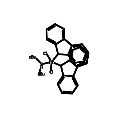 CCCC[SiH](CCCC)[Hf]([Cl])([Cl])([CH]1c2ccccc2-c2ccccc21)[CH]1c2ccccc2-c2ccccc21